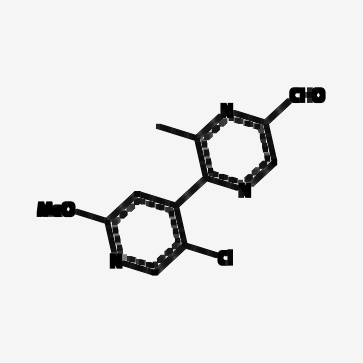 COc1cc(-c2ncc(C=O)nc2C)c(Cl)cn1